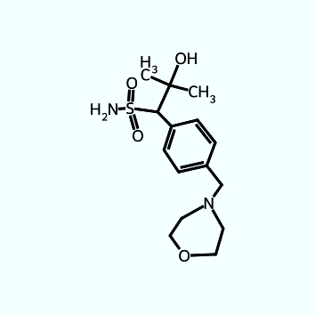 CC(C)(O)C(c1ccc(CN2CCOCC2)cc1)S(N)(=O)=O